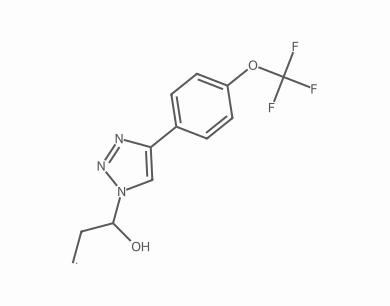 [CH2]CC(O)n1cc(-c2ccc(OC(F)(F)F)cc2)nn1